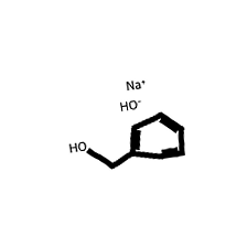 OCc1ccccc1.[Na+].[OH-]